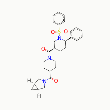 O=C(C1CCN(C(=O)[C@@H]2CC[C@H](c3ccccc3)N(S(=O)(=O)c3ccccc3)C2)CC1)N1C[C@H]2C[C@H]2C1